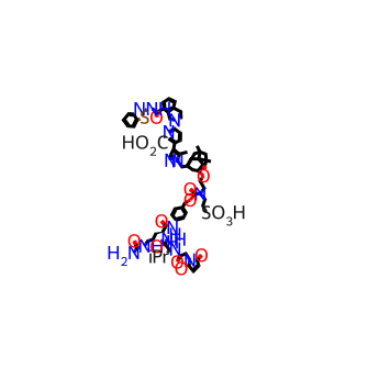 Cc1c(-c2ccc(N3CCc4cccc(C(=O)Nc5nc6ccccc6s5)c4C3)nc2C(=O)O)cnn1CC12CC3(OCCN(CCS(=O)(=O)O)C(=O)OCc4ccc(NC(=O)[C@H](CCCNC(N)=O)NC(=O)C(NC(=O)CN5C(=O)C=CC5=O)C(C)C)cc4)CC4(C)CC(C)(C1)C4(C2)C3